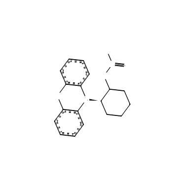 O=S(O)OC1CCCC[C@H]1N1c2ccccc2Oc2ccccc21